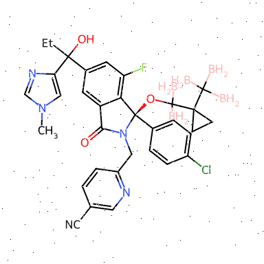 BC(B)(B)C1(C(B)(B)O[C@]2(c3ccc(Cl)cc3)c3c(F)cc(C(O)(CC)c4cn(C)cn4)cc3C(=O)N2Cc2ccc(C#N)cn2)CC1